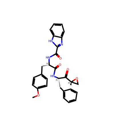 COc1ccc(C[C@H](NC(=O)c2nc3ccccc3[nH]2)C(=O)N[C@@H](Cc2ccccc2)C(=O)[C@@]2(C)CO2)cc1